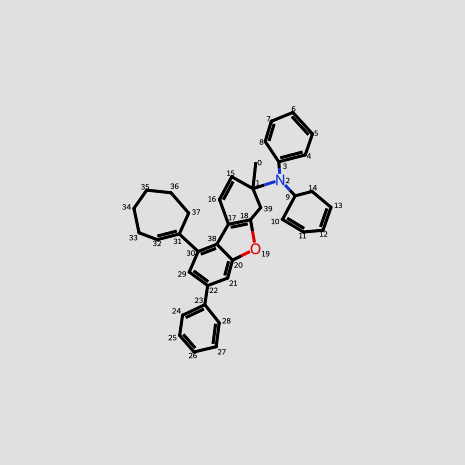 CC1(N(c2ccccc2)C2C=CC=CC2)C=Cc2c(oc3cc(-c4ccccc4)cc(C4=CCCCCC4)c23)C1